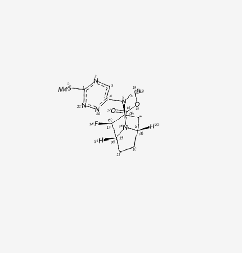 CSc1ncc(N(C)[C@H]2C[C@@H]3CC[C@H]([C@H]2F)N3C(=O)OC(C)(C)C)nn1